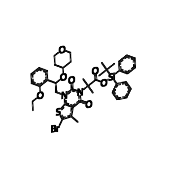 CCOc1ccccc1[C@H](Cn1c(=O)n(C(C)(C)C(=O)O[Si](c2ccccc2)(c2ccccc2)C(C)(C)C)c(=O)c2c(C)c(Br)sc21)OC1CCOCC1